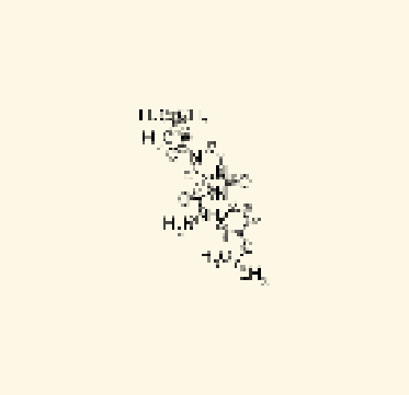 CC(C)Oc1ccc(-n2c(C(=O)NN)c3n(c2=O)CCN(C(=O)OC(C)(C)C)C3)cc1